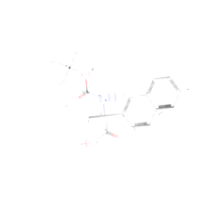 CC(C)(C)OC(=O)NC(C)(C(=O)O)c1ccc2ccccc2c1